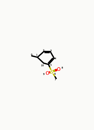 CC1C=CC=C(S(C)(=O)=O)C1